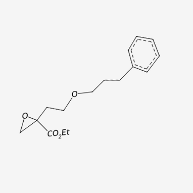 CCOC(=O)C1(CCOCCCc2ccccc2)CO1